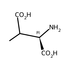 CC(C(=O)O)[C@@H](N)C(=O)O